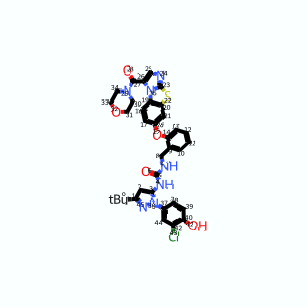 CC(C)(C)c1cc(NC(=O)NCc2ccccc2Oc2ccc3c(c2)sc2ncc(C(=O)N4CCOCC4)n23)n(-c2ccc(O)c(Cl)c2)n1